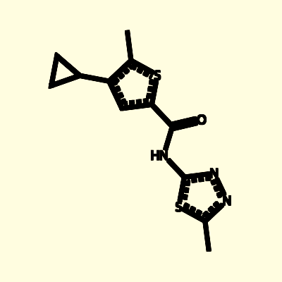 Cc1nnc(NC(=O)c2cc(C3CC3)c(C)s2)s1